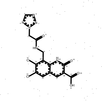 O=C(Cn1ncnn1)NCc1c(Cl)c(Cl)cc2cc(C(=O)O)c(=O)[nH]c12